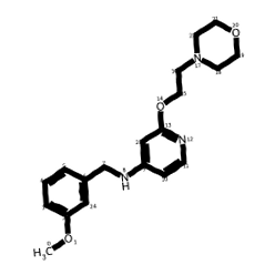 COc1cccc(CNc2ccnc(OCCN3CCOCC3)c2)c1